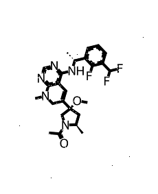 CO[C@@]1(C2=Cc3c(N[C@H](C)c4cccc(C(F)F)c4F)ncnc3N(C)C2)C[C@@H](C)N(C(C)=O)C1